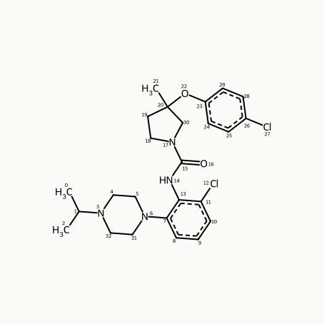 CC(C)N1CCN(c2cccc(Cl)c2NC(=O)N2CCC(C)(Oc3ccc(Cl)cc3)C2)CC1